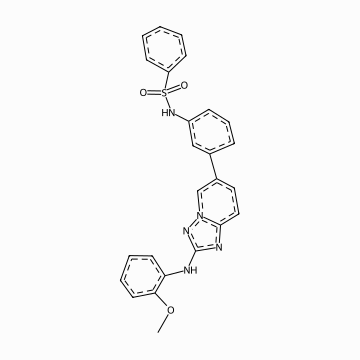 COc1ccccc1Nc1nc2ccc(-c3cccc(NS(=O)(=O)c4ccccc4)c3)cn2n1